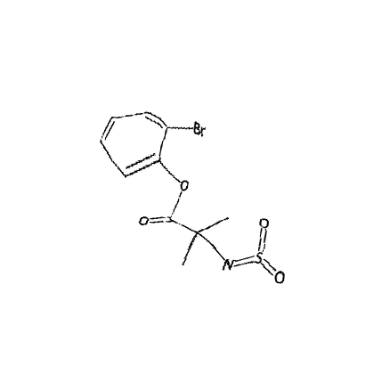 CC(C)(N=S(=O)=O)C(=O)Oc1ccccc1Br